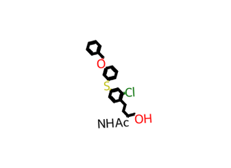 CC(=O)NC(CO)CCc1ccc(Sc2cccc(OCc3ccccc3)c2)cc1Cl